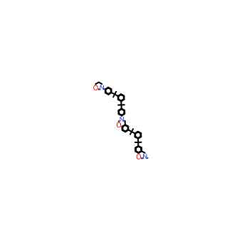 CN1COc2ccc(C(C)(C)c3cccc(C(C)(C)c4ccc5c(c4)CN(c4ccc(C(C)(C)c6cccc(C(C)(C)c7ccc(N8CCCOC8)cc7)c6)cc4)CO5)c3)cc2C1